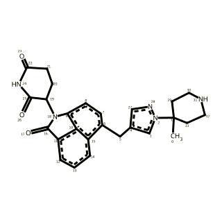 CC1(n2cc(Cc3ccc4c5c(cccc35)C(=O)N4C3CCC(=O)NC3=O)cn2)CCNCC1